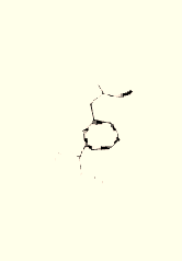 CC(C=O)Cc1cccc(C(C)C)c1